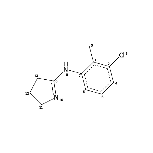 Cc1c(Cl)cccc1NC1=NCCC1